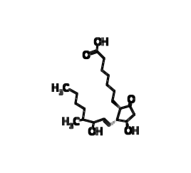 CCCCC(C)C(O)C=C[C@H]1[C@H](O)CC(=O)[C@@H]1CCCCCCC(=O)O